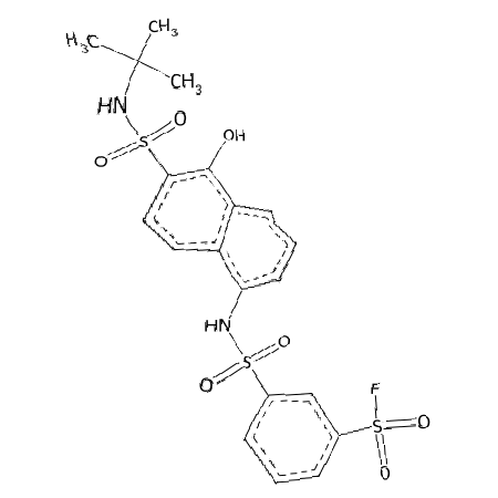 CC(C)(C)NS(=O)(=O)c1ccc2c(NS(=O)(=O)c3cccc(S(=O)(=O)F)c3)cccc2c1O